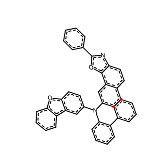 c1ccc(-c2nc3ccc4ccc(N(c5ccc6oc7ccccc7c6c5)c5ccccc5-c5ccccc5)cc4c3o2)cc1